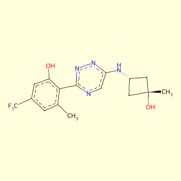 Cc1cc(C(F)(F)F)cc(O)c1-c1ncc(N[C@H]2C[C@@](C)(O)C2)nn1